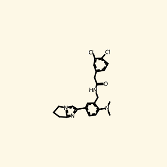 CN(C)c1ccc(-c2cn3c(n2)CCC3)cc1CNC(=O)Cc1ccc(Cl)c(Cl)c1